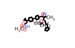 Cc1noc(-c2ccc(-c3ccc(C4(CC(=O)NS(C)(=O)=O)CC4)cc3)cc2)c1C(CCCc1ccccc1)O[Si](C)(C)C(C)(C)C